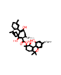 C=C(C)[C@@H]1CCC(C)=CC1C1=C(O)C=C(CCCCC)C(C(=O)OC2(C)CCC3=C(c4c(O)cc(CCCCC)cc4OC3(C)C)C2O)=C(O)C12CCC2